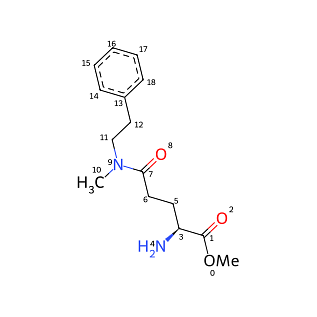 COC(=O)[C@@H](N)CCC(=O)N(C)CCc1ccccc1